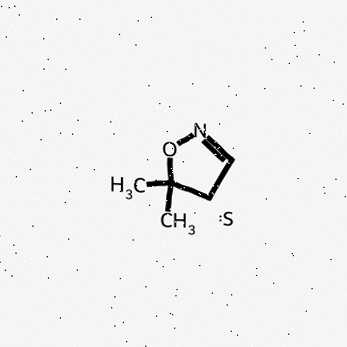 CC1(C)CC=NO1.[S]